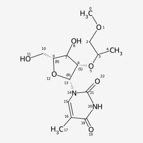 COCC(C)O[C@H]1C(O)[C@@H](CO)O[C@H]1n1cc(C)c(=O)[nH]c1=O